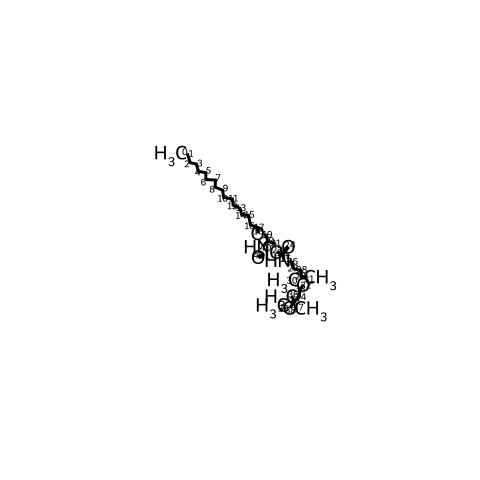 CCCCCCCCCCCCCCCCCCOCC(COC(=O)NCCCC(C)(C)OCCC(C)(C)OC)NC=O